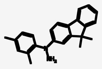 Cc1ccc(N(N)c2ccc3c(c2)C(C)(C)c2ccccc2-3)c(C)c1